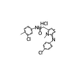 Cc1ccc(NC(=O)Cc2cs/c(=N/c3ccc(Cl)cc3)n2C)cc1Cl.Cl